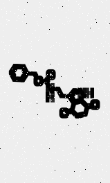 O=C(NCCc1c[nH]c2c1C(=O)C=CC2=O)OCc1ccccc1